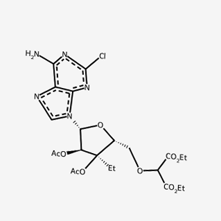 CCOC(=O)C(OC[C@H]1O[C@@H](n2cnc3c(N)nc(Cl)nc32)[C@H](OC(C)=O)[C@]1(CC)OC(C)=O)C(=O)OCC